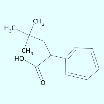 CC(C)(C)CC(C(=O)O)c1ccccc1